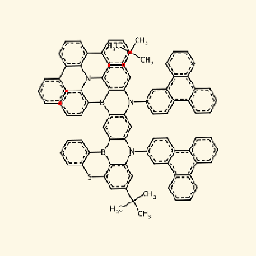 CC(C)(C)c1cc2c3c(c1)N(c1ccc4c5ccccc5c5ccccc5c4c1)c1cc4c(cc1B3c1ccccc1S2)B1c2ccccc2N(c2c(-c3ccccc3)cccc2-c2ccccc2)c2cc(C(C)(C)C)cc(c21)N4c1ccc2c3ccccc3c3ccccc3c2c1